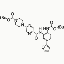 CC(C)(C)OC(=O)Nc1ccc(-c2ccco2)cc1NC(=O)c1cnc(N2CCN(C(=O)OC(C)(C)C)CC2)cn1